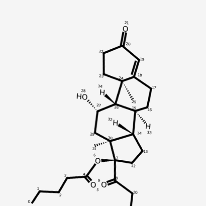 CCCCC(=O)O[C@]1(C(=O)CCl)CC[C@H]2[C@@H]3CCC4=CC(=O)CC[C@]4(C)[C@H]3[C@@H](O)C[C@@]21C